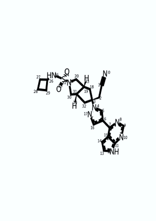 N#CC[C@]1(n2cc(-c3ncnc4[nH]ccc34)cn2)C[C@H]2CN(S(=O)(=O)NC3CCC3)C[C@H]2C1